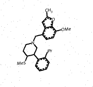 COc1ccc(CN2CCC(SC)C(c3ccccc3C(C)C)C2)c2cc(C)oc12